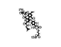 C=Cc1cc(C(=O)Nc2ccc(C(=N)NC(=O)OCCCC(=O)OC(C)(C)C)cc2)c(-c2ccc(C(=O)NCC3CC3)nc2C(=O)OC(C)OC(=O)OC(C)C)cc1OC